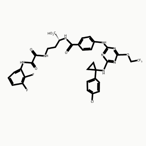 O=C(NCC[C@@H](NC(=O)c1ccc(Nc2nc(NC3(c4ccc(Cl)cc4)CC3)nc(OCC(F)(F)F)n2)cc1)C(=O)O)C(=O)Nc1cccc(F)c1F